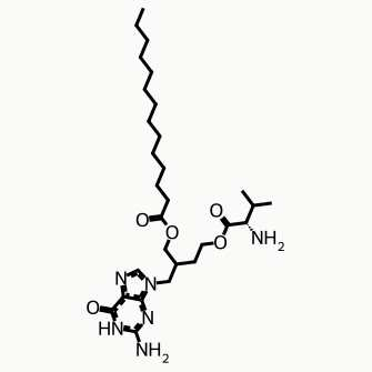 CCCCCCCCCCCCCC(=O)OCC(CCOC(=O)[C@@H](N)C(C)C)Cn1cnc2c(=O)[nH]c(N)nc21